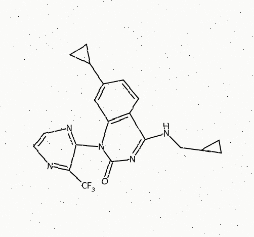 O=c1nc(NCC2CC2)c2ccc(C3CC3)cc2n1-c1nccnc1C(F)(F)F